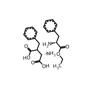 CCOC(=O)[C@@H](N)Cc1ccccc1.N[C@H](C(=O)O)C(Cc1ccccc1)C(=O)O